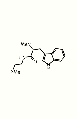 CN[C@@H](Cc1c[nH]c2ccccc12)C(=O)NCCSC